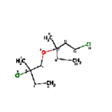 CCC(C)(Cl)COC(C)(CC)CCCl